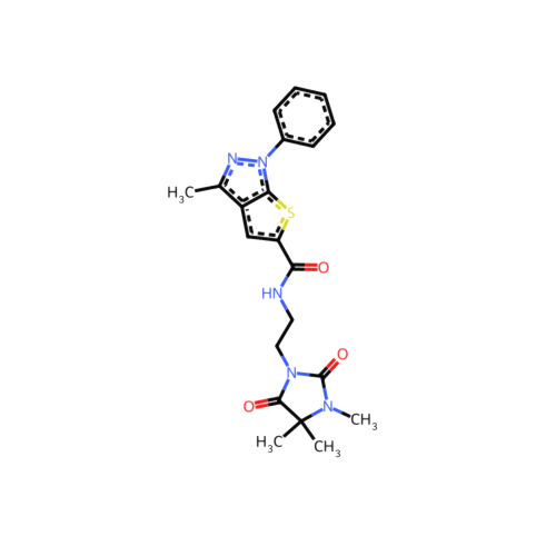 Cc1nn(-c2ccccc2)c2sc(C(=O)NCCN3C(=O)N(C)C(C)(C)C3=O)cc12